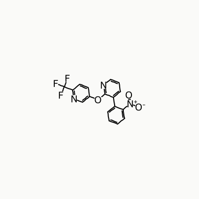 O=[N+]([O-])c1ccccc1-c1cccnc1Oc1ccc(C(F)(F)F)nc1